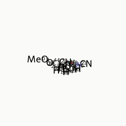 COCO[C@@H]1CC[C@@]2(C)[C@@H](CC[C@@H]3[C@@H]2CC[C@@]24CCC/C(=C\C#N)[C@H]2CC[C@@H]34)C1